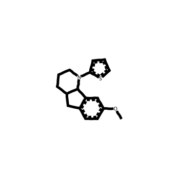 COc1ccc2c(c1)C1C(CCCN1c1cccs1)C2